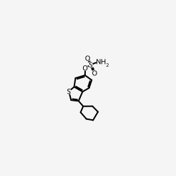 NS(=O)(=O)Oc1ccc2c(C3CCCCC3)csc2c1